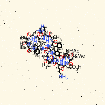 CC[C@H](C)[C@H](NC(=O)[C@H](CC(=O)O)NC(=O)[C@H](CC(C)C)NC(=O)[C@H](Cc1cnc[nH]1)NC(=O)[C@H](C)NC(=O)[C@H](Cc1ccccc1)NC(=O)[C@H](Cc1ccc(O)cc1)NC(=O)[C@@H](NC(=O)[C@H](C)NC(=O)CNC(=O)[C@H](CCCCN)NC(=O)[C@H](CC(=O)O)NC(=O)[C@H](CCSC)NC(=O)[C@H](CC(C)C)NC(C)=O)C(C)C)C(=O)N[C@H](C(=O)N[C@@H](Cc1c[nH]c2ccccc12)C(=O)O)[C@@H](C)CC